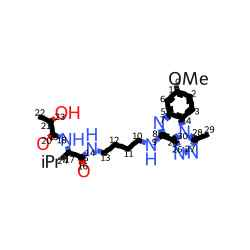 COc1ccc2c(c1)nc(NCCCCNC(=O)C(NC(=O)C(C)O)C(C)C)c1nnc(C)n12